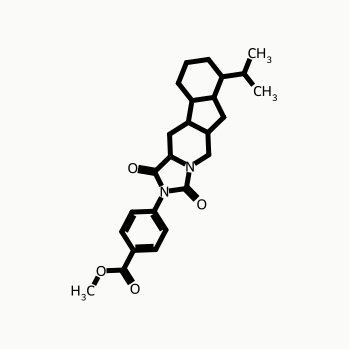 COC(=O)c1ccc(N2C(=O)C3CC4C(CC5C(C(C)C)CCCC45)CN3C2=O)cc1